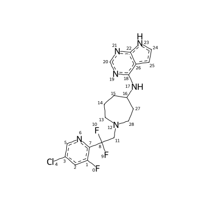 Fc1cc(Cl)cnc1C(F)(F)CN1CCCC(Nc2ncnc3[nH]ccc23)CC1